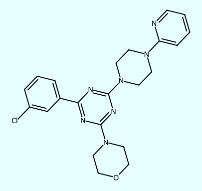 Clc1cccc(-c2nc(N3CCOCC3)nc(N3CCN(c4ccccn4)CC3)n2)c1